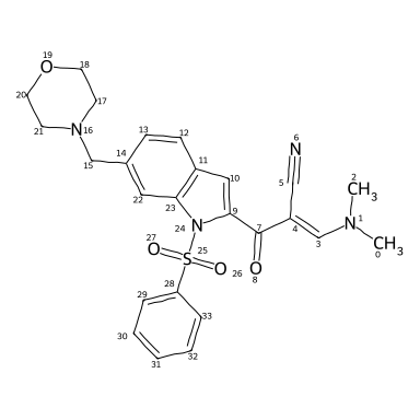 CN(C)C=C(C#N)C(=O)c1cc2ccc(CN3CCOCC3)cc2n1S(=O)(=O)c1ccccc1